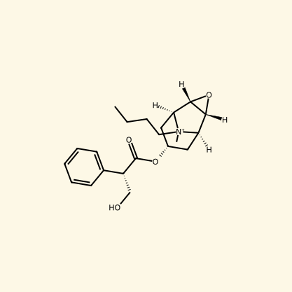 CCCC[N+]1(C)[C@@H]2C[C@H](OC(=O)[C@H](CO)c3ccccc3)C[C@H]1[C@@H]1O[C@@H]12